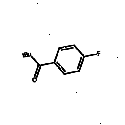 CC(C)(C)C(=O)c1ccc(F)cc1